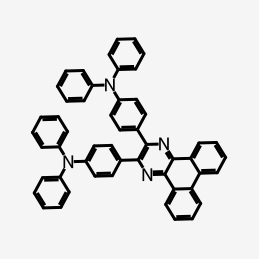 c1ccc(N(c2ccccc2)c2ccc(-c3nc4c5ccccc5c5ccccc5c4nc3-c3ccc(N(c4ccccc4)c4ccccc4)cc3)cc2)cc1